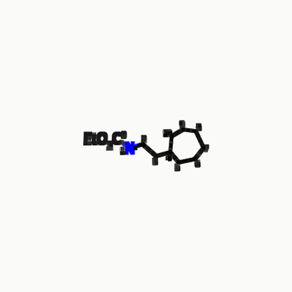 CCOC(=O)[N]CCC1CCCCCC1